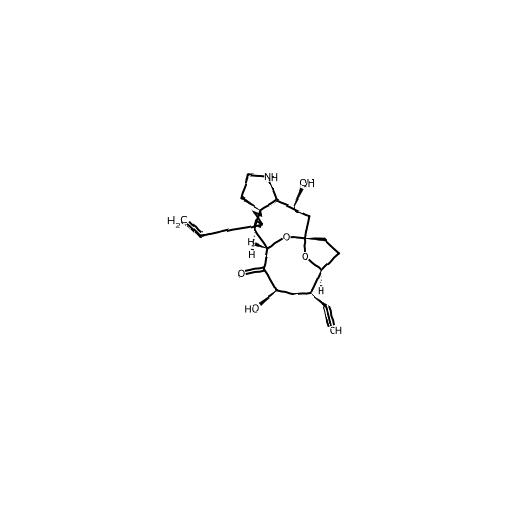 C#C[C@H]1C[C@@H](O)C(=O)[C@H]2O[C@]3(CC[C@@H]1O3)C[C@H](O)C1NCC[C@@]13CCC(C=C)=C[C@H]23